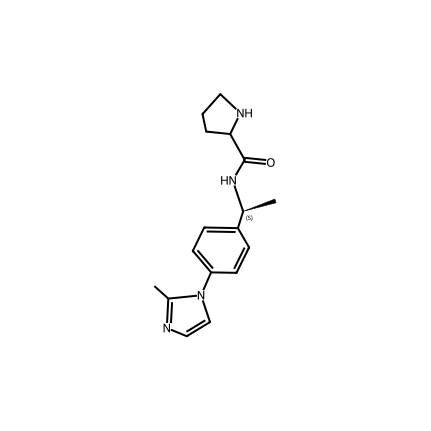 Cc1nccn1-c1ccc([C@H](C)NC(=O)C2CCCN2)cc1